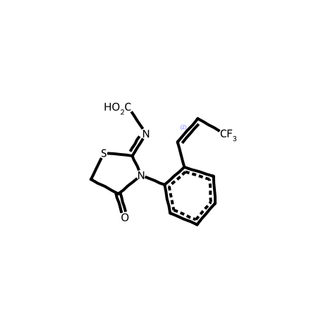 O=C(O)N=C1SCC(=O)N1c1ccccc1/C=C\C(F)(F)F